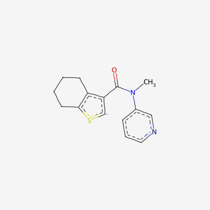 CN(C(=O)c1[c]sc2c1CCCC2)c1cccnc1